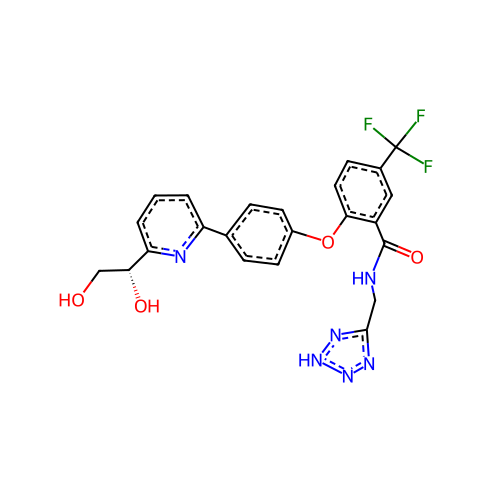 O=C(NCc1nn[nH]n1)c1cc(C(F)(F)F)ccc1Oc1ccc(-c2cccc([C@H](O)CO)n2)cc1